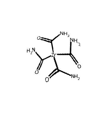 N[C](=O)[Zr]([C](N)=O)([C](N)=O)[C](N)=O